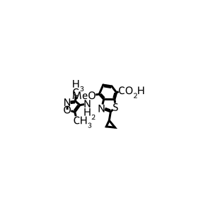 COc1ccc(C(=O)O)c2sc(C3CC3)nc12.Cc1noc(C)c1N